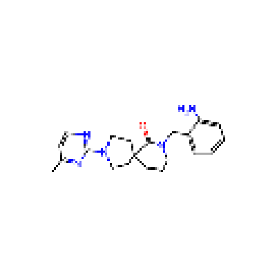 Cc1ccnc(N2CCC3(CCCN(Cc4ccccc4N)C3=O)CC2)n1